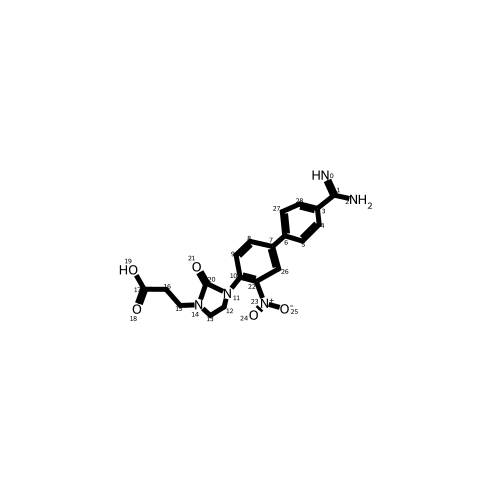 N=C(N)c1ccc(-c2ccc(N3CCN(CCC(=O)O)C3=O)c([N+](=O)[O-])c2)cc1